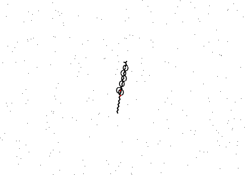 CCCCCCCCCCCCOC(=O)CCCOCCOCCOCCOCCC(C)C